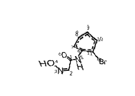 O=C(/C=N\O)Nc1ccccc1Br